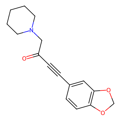 O=C(C#Cc1ccc2c(c1)OCO2)CN1CCCCC1